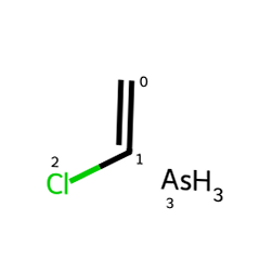 C=CCl.[AsH3]